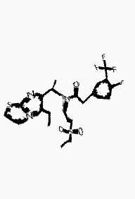 CCc1c([C@@H](C)N(CCS(=O)(=O)CC)C(=O)Cc2ccc(F)c(C(F)(F)F)c2)nc2sccn12